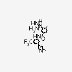 Cc1cn(-c2cc(NC(=O)c3ccc(C)c(NC(=N)N)c3)cc(C(F)(F)F)c2)cn1